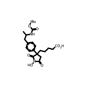 CC(Cc1ccc(C2(CCCCC(=O)O)CC(=O)N(O)C2=O)cc1)NC(=O)OC(C)(C)C